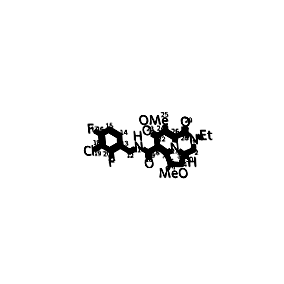 CCN1C[C@@H]2C[C@@H](OC)c3c(C(=O)NCc4ccc(F)c(Cl)c4F)c(=O)c(OC)c(n32)C1=O